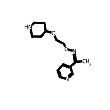 CC(=NOCCOC1CCNCC1)c1cccnc1